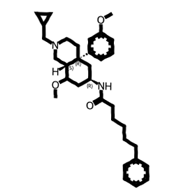 COc1cccc([C@@]23CCN(CC4CC4)C[C@H]2C(OC)C[C@H](NC(=O)CCCCCc2ccccc2)C3)c1